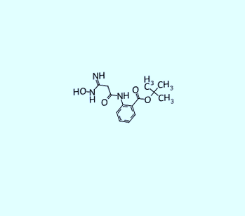 CC(C)(C)OC(=O)c1ccccc1NC(=O)CC(=N)NO